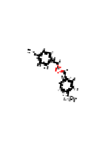 CC(C)c1ccc(COCc2ccc(C(C)C)cc2)cc1